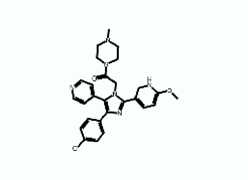 COC1=CC=C(c2nc(-c3ccc(Cl)cc3)c(-c3ccncc3)n2CC(=O)N2CCN(C)CC2)CN1